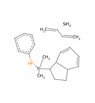 C=CC=C.[CH3][Ti]([CH3])([PH]c1ccccc1)[CH]1CCC2C=CC=CC21.[SiH4]